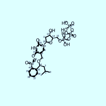 CC(C)C[C@H](OCc1cn([C@H]2C[C@@H](O)[C@@H](COP(=O)(O)OP(=O)(O)OP(=O)(O)O)O2)c(=O)[nH]c1=O)c1ccccc1[N+](=O)[O-]